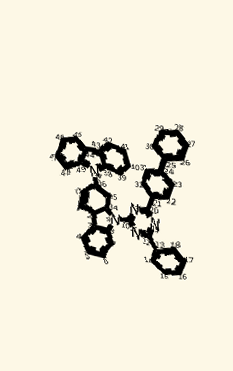 C1=CC2c3ccccc3N(c3nc(-c4ccccc4)nc(-c4ccc(-c5ccccc5)cc4)n3)C2C=C1n1c2ccccc2c2ccccc21